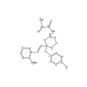 COc1ccccc1/C=C/C1(Cc2ccc(Cl)cc2)CNCCO1.O=C(O)C(=O)O